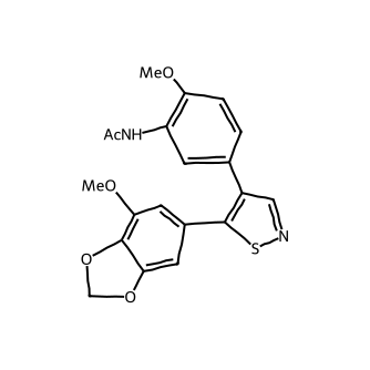 COc1ccc(-c2cnsc2-c2cc(OC)c3c(c2)OCO3)cc1NC(C)=O